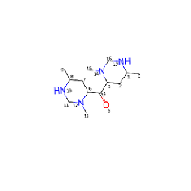 CC1CC(C(=O)C2CC(C)NCN2C)N(C)CN1